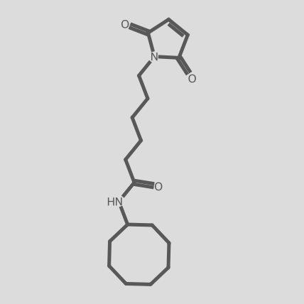 O=C(CCCCCN1C(=O)C=CC1=O)NC1CCCCCCC1